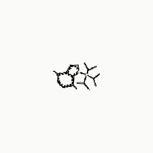 Cc1ccc(F)c2c1cnn2S(C(C)C)(C(C)C)C(C)C